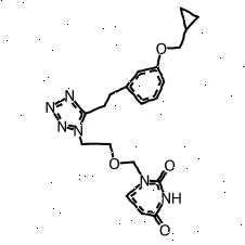 O=c1ccn(COCCn2nnnc2CCc2cccc(OCC3CC3)c2)c(=O)[nH]1